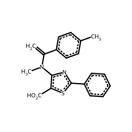 C=C(c1ccc(C)cc1)N(C)c1nc(-c2ccccc2)sc1C(=O)O